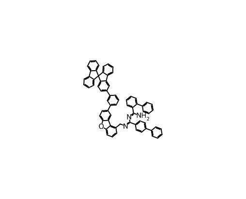 N/C(=N\C(=N/Cc1cccc2oc3ccc(-c4cccc(-c5ccc6c(c5)-c5ccccc5C65c6ccccc6-c6ccccc65)c4)cc3c12)c1ccc(-c2ccccc2)cc1)c1ccccc1-c1ccccc1